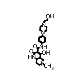 CN1CCC2NC(=O)C(C(=O)Nc3ccc(N4CCN(CCO)CC4)cc3)=C(O)C2C1